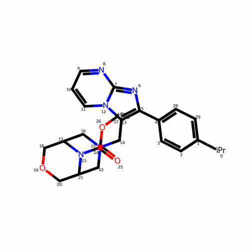 CC(C)c1ccc(-c2nc3ncccn3c2CN2CC3COCC(C2)N3C(=O)OC(C)(C)C)cc1